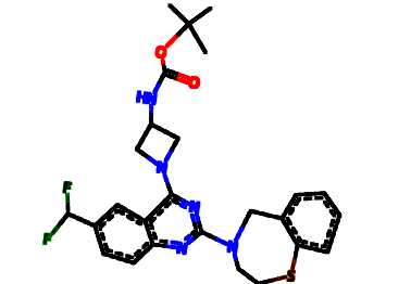 CC(C)(C)OC(=O)NC1CN(c2nc(N3CCSc4ccccc4C3)nc3ccc(C(F)F)cc23)C1